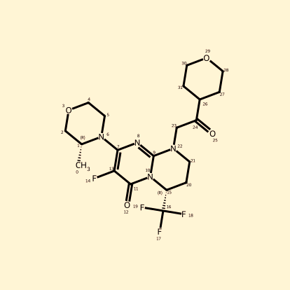 C[C@@H]1COCCN1c1nc2n(c(=O)c1F)[C@@H](C(F)(F)F)CCN2CC(=O)C1CCOCC1